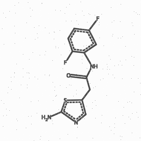 Nc1ncc(CC(=O)Nc2cc(F)ccc2F)s1